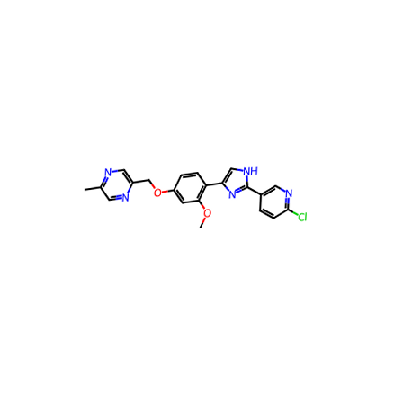 COc1cc(OCc2cnc(C)cn2)ccc1-c1c[nH]c(-c2ccc(Cl)nc2)n1